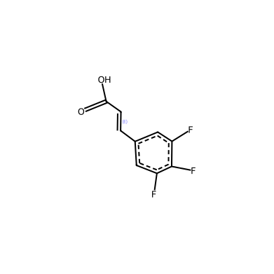 O=C(O)/C=C/c1cc(F)c(F)c(F)c1